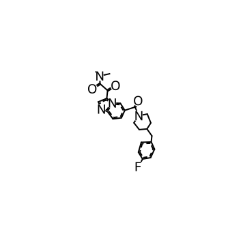 CN(C)C(=O)C(=O)c1cnc2ccc(C(=O)N3CCC(Cc4ccc(F)cc4)CC3)cn12